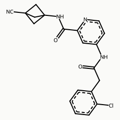 N#CC12CC(NC(=O)c3cc(NC(=O)Cc4ccccc4Cl)ccn3)(C1)C2